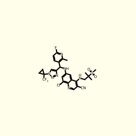 Cc1nc(F)ccc1C(Nc1cc(Cl)c2ncc(C#N)c(NCC(C)(C)S(C)(=O)=O)c2c1)c1cn(C2(C(F)(F)F)CC2)nn1